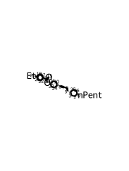 CCCCC[C@H]1CC[C@H](C=CC#C[C@H]2CC[C@H](OC(=O)c3ccc(CC)cc3)CC2)CC1